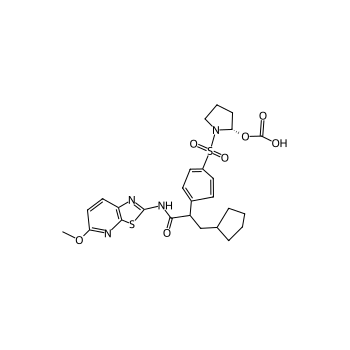 COc1ccc2nc(NC(=O)C(CC3CCCC3)c3ccc(S(=O)(=O)N4CCC[C@@H]4OC(=O)O)cc3)sc2n1